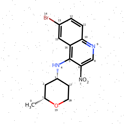 C[C@@H]1C[C@H](Nc2c([N+](=O)[O-])cnc3ccc(Br)cc23)CCO1